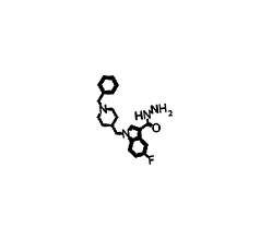 NNC(=O)c1cn(CC2CCN(Cc3ccccc3)CC2)c2ccc(F)cc12